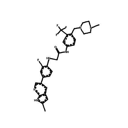 Cc1cc2cc(-c3ccc(NCC(=O)Nc4ccc(CN5CCN(C)CC5)c(C(F)(F)F)c4)c(F)c3)cnc2[nH]1